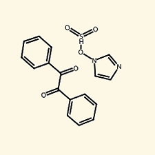 O=C(C(=O)c1ccccc1)c1ccccc1.O=[SH](=O)On1ccnc1